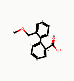 COCc1ccccc1-c1ccccc1C(=O)O